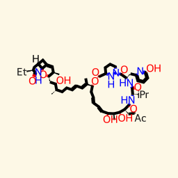 CC[C@H]1C[C@@H]2CC3=C[C@@H](C)[C@H](C[C@H](O)[C@@H](C)CC/C=C/C=C(\C)[C@@H]4C/C=C/C=C/[C@H](O)[C@H](C)[C@@H](O)[C@@H](CCC(C)=O)C(=O)N[C@@H](C(C)C)C(=O)N[C@@H](Cc5cccc(O)n5)C(=O)N5CCCC(N5)C(=O)O4)O[C@@]32NC1=O